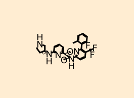 Cc1ccccc1-c1nc(NS(=O)(=O)c2cccc(N[C@H]3CCNC3)n2)ccc1C(F)(F)F